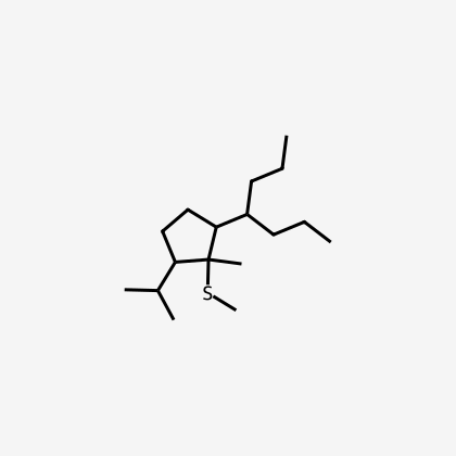 CCCC(CCC)C1CCC(C(C)C)C1(C)SC